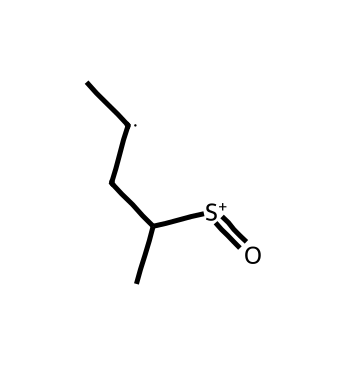 C[CH]CC(C)[S+]=O